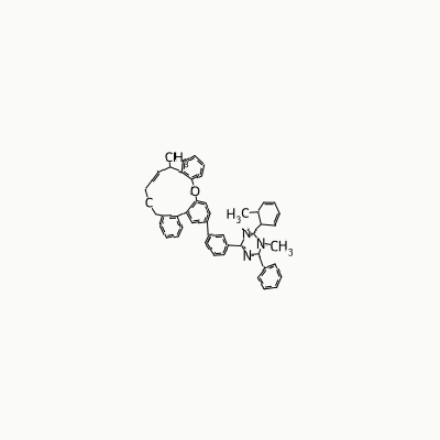 CC1/C=C\CCCc2ccccc2-c2cc(-c3cccc(C4=NC(c5ccccc5)N(C)C(C5C=CC=CC5C)=N4)c3)ccc2Oc2ccccc21